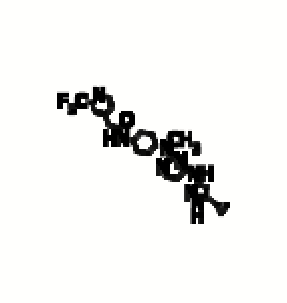 CN(c1nccc(Nc2cc(C3CC3)[nH]n2)n1)[C@H]1CC[C@H](NC(=O)Cc2ccnc(C(F)(F)F)c2)CC1